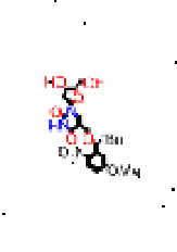 COc1ccc([N+](=O)[O-])c([C@@H](OCc2cn([C@H]3C[C@@H](O)[C@@H](CO)O3)c(=O)[nH]c2=O)C(C)(C)C)c1